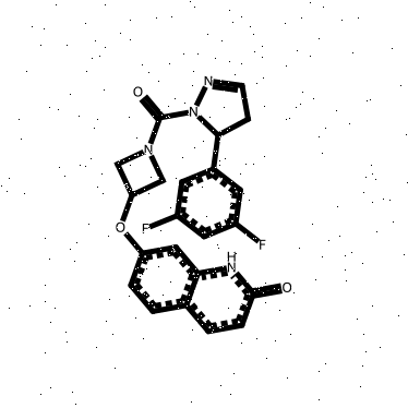 O=C(N1CC(Oc2ccc3ccc(=O)[nH]c3c2)C1)N1N=CCC1c1cc(F)cc(F)c1